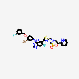 O=S(=O)=CN(CCc1ccccn1)Cc1nc(-c2cc3c(Nc4ccc(OCc5cccc(F)c5)c(Br)c4)ncnc3cc2F)cs1